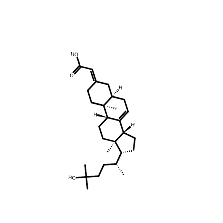 C[C@H](CCC(C)(C)O)[C@H]1CC[C@H]2C3=CC[C@@H]4C/C(=C/C(=O)O)CC[C@]4(C)[C@H]3CC[C@]12C